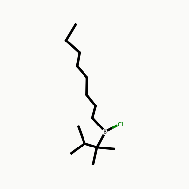 CCCCCCCCB(Cl)C(C)(C)C(C)C